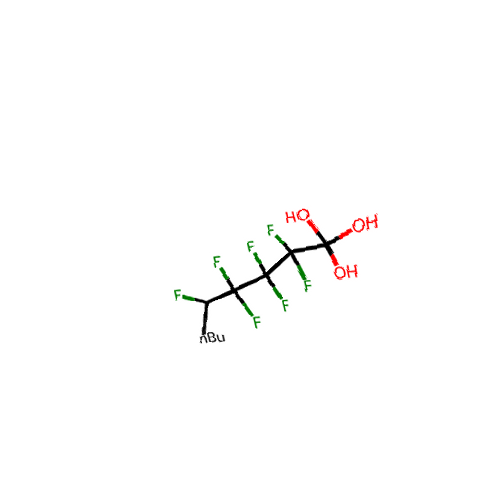 CCCCC(F)C(F)(F)C(F)(F)C(F)(F)C(O)(O)O